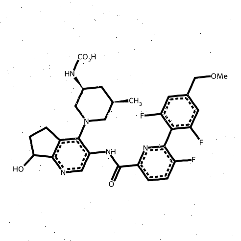 COCc1cc(F)c(-c2nc(C(=O)Nc3cnc4c(c3N3C[C@H](C)C[C@H](NC(=O)O)C3)CCC4O)ccc2F)c(F)c1